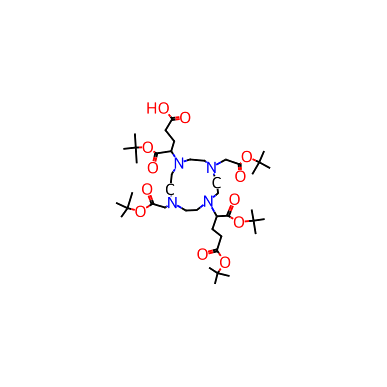 CC(C)(C)OC(=O)CCC(C(=O)OC(C)(C)C)N1CCN(CC(=O)OC(C)(C)C)CCN(C(CCC(=O)O)C(=O)OC(C)(C)C)CCN(CC(=O)OC(C)(C)C)CC1